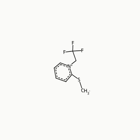 [CH2]Sc1cccc[n+]1CC(F)(F)F